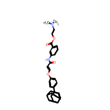 CN(C)CCOC(=O)c1cccc(NC(=O)C=COc2ccc(C34CC5CC(CC(C5)C3)C4)cc2)c1